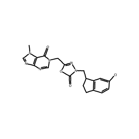 Cn1cnc2ncn(Cc3nn(CC4CCc5ccc(Cl)cc54)c(=O)o3)c(=O)c21